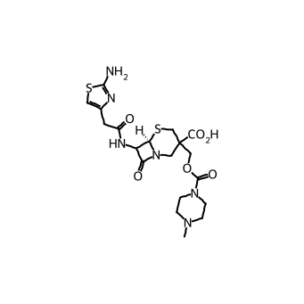 CN1CCN(C(=O)OCC2(C(=O)O)CS[C@@H]3C(NC(=O)Cc4csc(N)n4)C(=O)N3C2)CC1